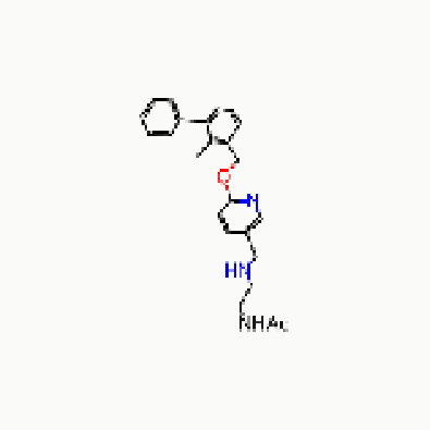 CC(=O)NCCNCc1ccc(OCc2cccc(-c3ccccc3)c2C)nc1